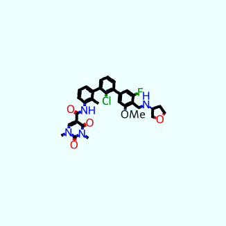 COc1cc(-c2cccc(-c3cccc(NC(=O)c4cn(C)c(=O)n(C)c4=O)c3C)c2Cl)cc(F)c1CN[C@H]1CCOC1